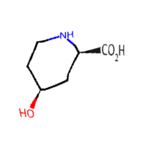 O=C(O)[C@H]1C[C@@H](O)CCN1